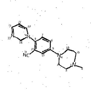 CN1CCN(c2ccc(N3C=CC=NC3)c(C#N)c2)CC1